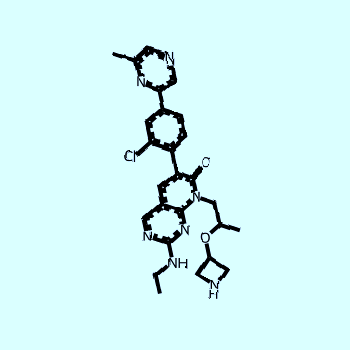 CCNc1ncc2cc(-c3ccc(-c4cncc(C)n4)cc3Cl)c(=O)n(CC(C)OC3CNC3)c2n1